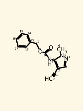 C#Cc1cnn(C)c1NC(=O)OCc1ccccc1